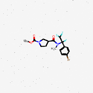 CN(C(=O)C1CCN(C(=O)OC(C)(C)C)C1)C(F)(c1ccc(Br)cc1)C(F)F